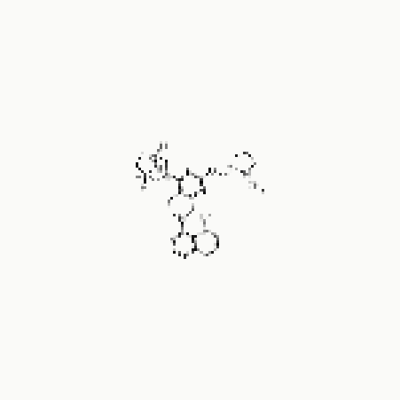 CN1CCC[C@H]1COc1nc2c(c([C@@H]3C[C@H]4CC[C@@H](C3)N4)n1)CCN(c1cccc3cccc(Br)c13)C2